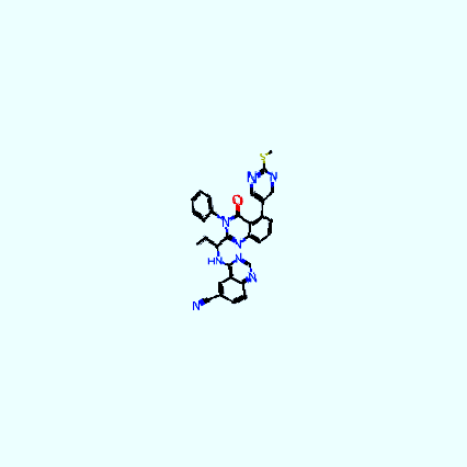 CCC(Nc1ncnc2ccc(C#N)cc12)c1nc2cccc(-c3cnc(SC)nc3)c2c(=O)n1-c1ccccc1